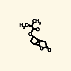 C=C(C)C(=O)OC1CC2CC1C1CC(=O)OC21